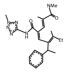 CC/C(C)=C(/C=C(\C=C(/C)C(=O)NC)C(=O)Nc1nnn(C)n1)C(C)c1ccccc1